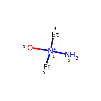 CC[N+](N)([O-])CC